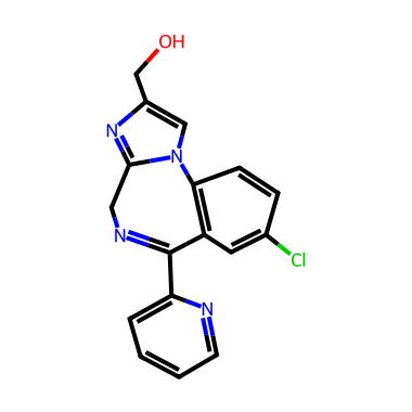 OCc1cn2c(n1)CN=C(c1ccccn1)c1cc(Cl)ccc1-2